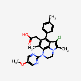 COc1cnc(N2CCn3c(C)c(Cl)c4c(-c5ccc(C)cc5)c(CC(=O)O)c(C)c2c43)nc1